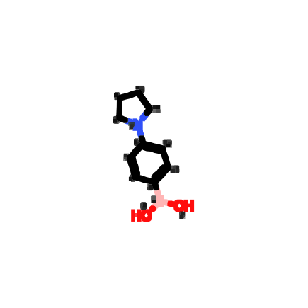 OB(O)c1ccc(N2CCCC2)cc1